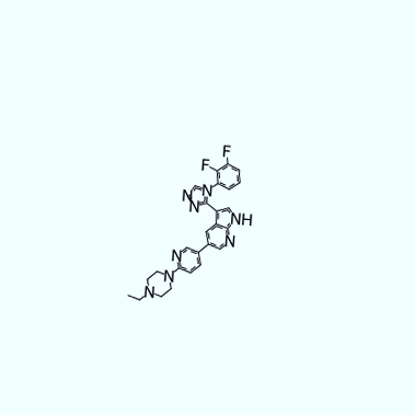 CCN1CCN(c2ccc(-c3cnc4[nH]cc(-c5nncn5-c5cccc(F)c5F)c4c3)cn2)CC1